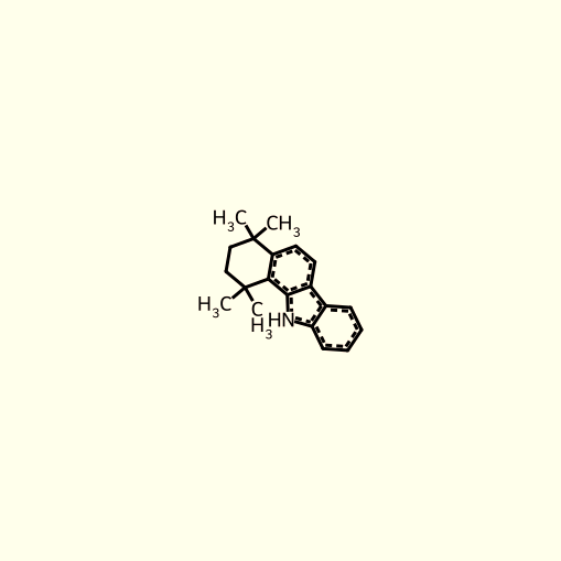 CC1(C)CCC(C)(C)c2c1ccc1c2[nH]c2ccccc21